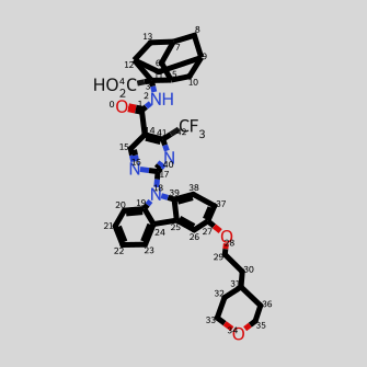 O=C(NC1(C(=O)O)C2CC3CC(C2)CC1C3)c1cnc(-n2c3ccccc3c3cc(OCCC4CCOCC4)ccc32)nc1C(F)(F)F